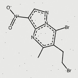 Cc1nc2c([N+](=O)[O-])cnn2c(Br)c1CCBr